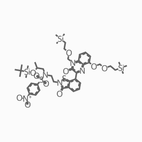 CC(CN(CCn1sc2c(-c3nc4c(OCOCC[Si](C)(C)C)cccc4n(COCC[Si](C)(C)C)c3=O)cccc2c1=O)S(=O)(=O)c1ccc([N+](=O)[O-])cc1)O[Si](C)(C)C(C)(C)C